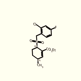 CCOC(=O)C1=C[C@@H](C)CC[C@H]1S(=O)(=O)Cc1ccc(F)cc1Cl